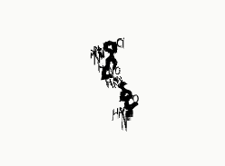 O=c1cc(-c2cc(Cl)ccc2-n2cnnn2)cc2n1[C@H](c1ncc(-c3ccc4c(c3)OCc3cn[nH]c3-4)[nH]1)[C@H]1C[C@@H]21